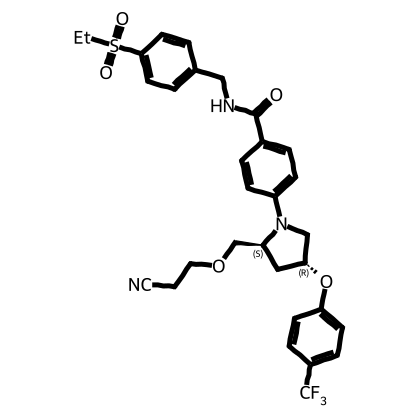 CCS(=O)(=O)c1ccc(CNC(=O)c2ccc(N3C[C@H](Oc4ccc(C(F)(F)F)cc4)C[C@H]3COCCC#N)cc2)cc1